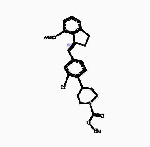 CCc1cc(/C=C2\CCc3cccc(OC)c32)ccc1C1CCN(C(=O)OC(C)(C)C)CC1